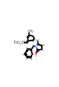 CCOC(=O)C=C1C=C(C)C[C@H](CC2CCC(=O)N2Cc2ccccc2)C1